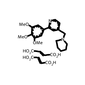 COc1cc(-c2cc(CN3CCCCC3)ccn2)cc(OC)c1OC.O=C(O)C=CC(=O)O.O=C(O)C=CC(=O)O